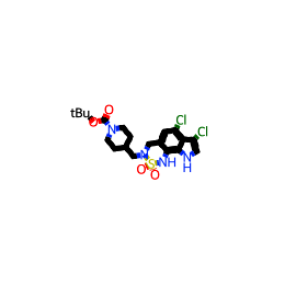 CC(C)(C)OC(=O)N1CCC(CN2Cc3cc(Cl)c4c(Cl)c[nH]c4c3NS2(=O)=O)CC1